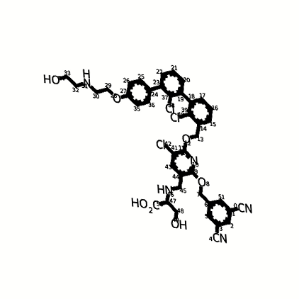 N#Cc1cc(C#N)cc(COc2nc(OCc3cccc(-c4cccc(-c5ccc(OCCNCCO)cc5)c4Cl)c3Cl)c(Cl)cc2CNC(CO)C(=O)O)c1